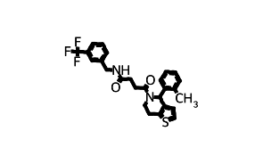 Cc1ccccc1C1c2ccsc2CCN1C(=O)CCC(=O)NCc1cccc(C(F)(F)F)c1